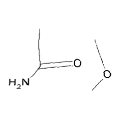 CC(N)=O.COC